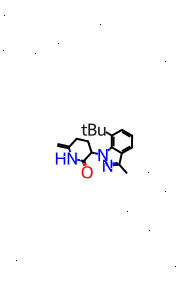 C=C1CCC(n2nc(C)c3cccc(C(C)(C)C)c32)C(=O)N1